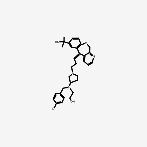 CC(C)(O)c1ccc2c(c1)/C(=C/CCN1CCC(N(CCO)Cc3ccc(Cl)cc3)C1)c1cccnc1CO2